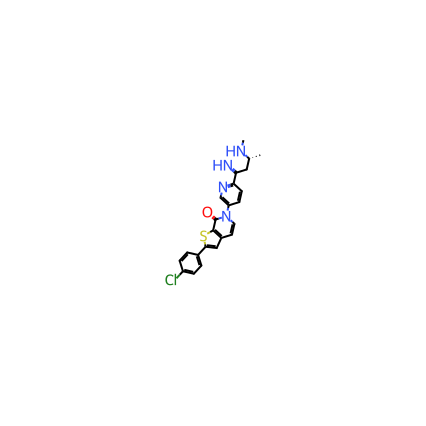 CN[C@H](C)CC(=N)c1ccc(-n2ccc3cc(-c4ccc(Cl)cc4)sc3c2=O)cn1